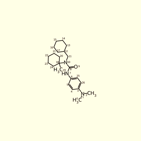 CN(C)c1ccc(NC(=O)N(CC2CCCCC2)C2(C)CCCCC2)cc1